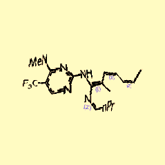 C\C=C/C=C\C(C)=C(\N=C/CCC)Nc1ncc(C(F)(F)F)c(NC)n1